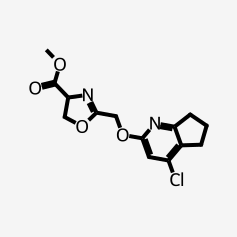 COC(=O)C1COC(COc2cc(Cl)c3c(n2)CCC3)=N1